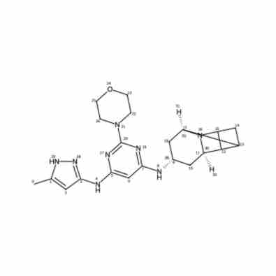 Cc1cc(Nc2cc(N[C@H]3C[C@@H]4C5C6CC5N4[C@H]6C3)nc(N3CCOCC3)n2)n[nH]1